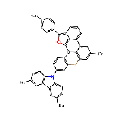 CC(C)c1cc2c3c(c1)-c1cccc4c(-c5ccc(C(C)(C)C)cc5)oc(c14)B3c1ccc(-n3c4ccc(C(C)(C)C)cc4c4cc(C(C)(C)C)ccc43)cc1S2